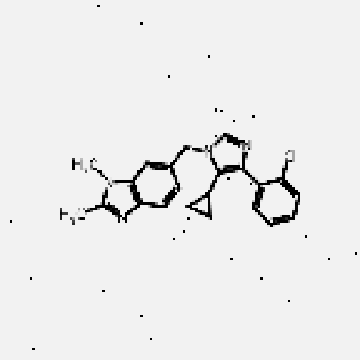 Cc1nc2ccc(Cn3cnc(-c4ccccc4Cl)c3C3CC3)cc2n1C